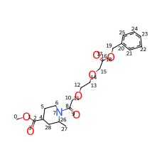 COC(=O)C1CCN(C(=O)COCCOCC(=O)OCc2ccccc2)C(C)C1